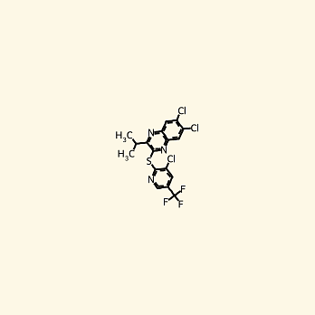 CC(C)c1nc2cc(Cl)c(Cl)cc2nc1Sc1ncc(C(F)(F)F)cc1Cl